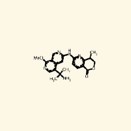 COc1ncc(C(C)(C)N)c2cc(Nc3ccc4c(n3)[C@@H](C)COC4=O)ncc12